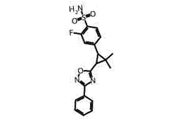 CC1(C)C(c2ccc(S(N)(=O)=O)c(F)c2)C1c1nc(-c2ccccc2)no1